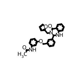 CC(=O)Nc1cccc(OCc2cccc(C3Nc4ccccc4C(=O)N3Cc3ccco3)c2)c1